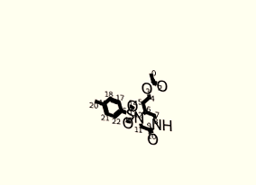 CC(=O)OCCC1CNC(=O)CN1S(=O)(=O)c1ccc(C)cc1